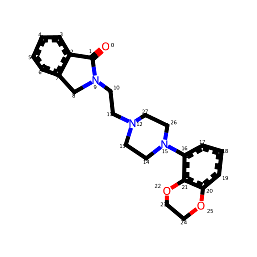 O=C1c2ccccc2CN1CCN1CCN(c2cccc3c2OCCO3)CC1